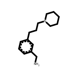 NCc1cccc([CH]CCN2CCCCC2)c1